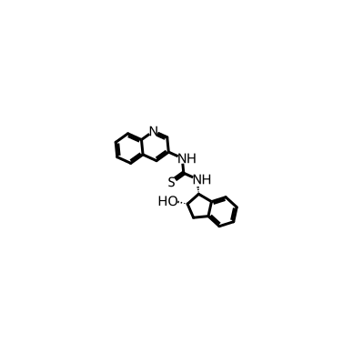 O[C@H]1Cc2ccccc2[C@H]1NC(=S)Nc1cnc2ccccc2c1